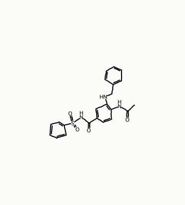 CC(=O)Nc1ccc(C(=O)NS(=O)(=O)c2ccccc2)cc1NCc1ccccc1